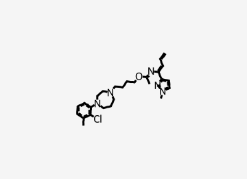 C=C/C=C(\N=C(/C)OCCCCN1CCCN(c2cccc(C)c2Cl)CC1)c1ccn(C)n1